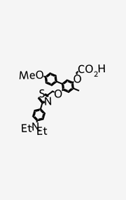 CCN(CC)c1ccc(-c2csc(COc3cc(C)c(OCC(=O)O)cc3-c3ccc(OC)cc3)n2)cc1